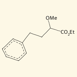 CCOC(=O)C(CCc1ccccc1)OC